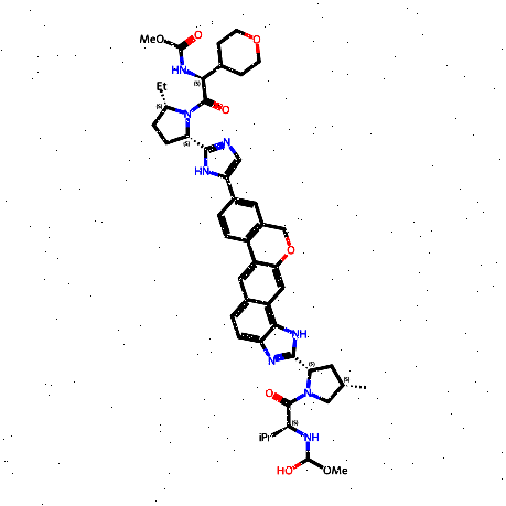 CC[C@H]1CC[C@@H](c2ncc(-c3ccc4c(c3)COc3cc5c(ccc6nc([C@@H]7C[C@H](C)CN7C(=O)[C@@H](NC(O)OC)C(C)C)[nH]c65)cc3-4)[nH]2)N1C(=O)[C@@H](NC(=O)OC)C1CCOCC1